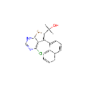 CC(C)(O)c1sc2ncnc(Cl)c2c1-c1cccc2ccccc12